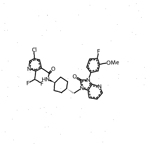 COc1cc(-n2c(=O)n(C[C@H]3CC[C@H](NC(=O)c4cc(Cl)cnc4C(F)F)CC3)c3cccnc32)ccc1F